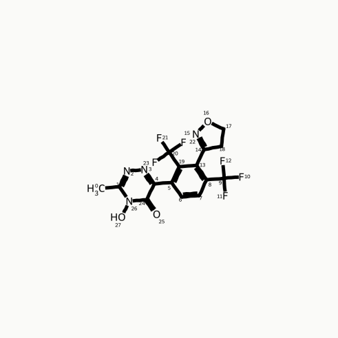 Cc1nnc(-c2ccc(C(F)(F)F)c(C3=NOCC3)c2C(F)(F)F)c(=O)n1O